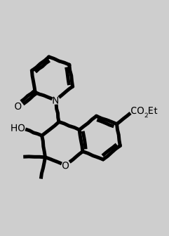 CCOC(=O)c1ccc2c(c1)C(n1ccccc1=O)C(O)C(C)(C)O2